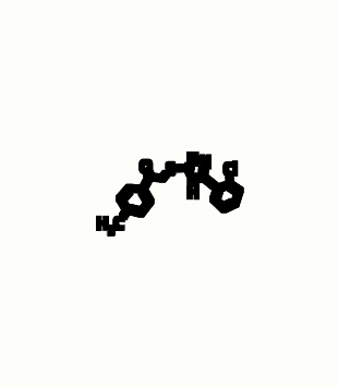 Cc1ccc(C(=O)CSc2nnc(-c3ccccc3Cl)[nH]2)cc1